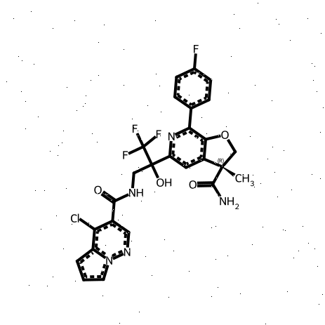 C[C@]1(C(N)=O)COc2c1cc(C(O)(CNC(=O)c1cnn3cccc3c1Cl)C(F)(F)F)nc2-c1ccc(F)cc1